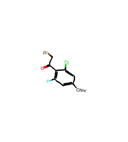 COc1cc(F)c(C(=O)CBr)c(Cl)c1